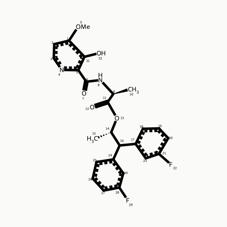 COc1ccnc(C(=O)N[C@@H](C)C(=O)O[C@@H](C)C(c2cccc(F)c2)c2cccc(F)c2)c1O